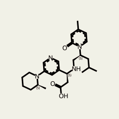 Cc1ccn([C@H](CN[C@@H](CC(=O)O)c2cncc(N3CCCC[C@@H]3C)c2)CC(C)C)c(=O)c1